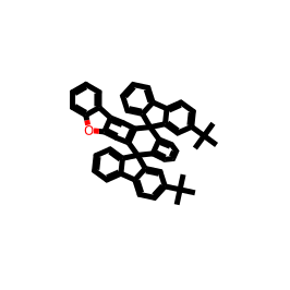 CC(C)(C)c1ccc2c(c1)C1(c3ccccc3-2)c2ccccc2C2(c3ccccc3-c3ccc(C(C)(C)C)cc32)c2cc3c(cc21)oc1ccccc13